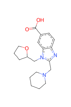 O=C(O)c1ccc2nc(CN3CCCCC3)n(CC3CCCO3)c2c1